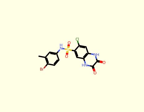 Cc1cc(NS(=O)(=O)c2cc3[nH]c(=O)c(=O)[nH]c3cc2Cl)ccc1Br